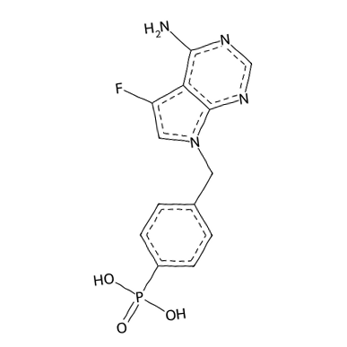 Nc1ncnc2c1c(F)cn2Cc1ccc(P(=O)(O)O)cc1